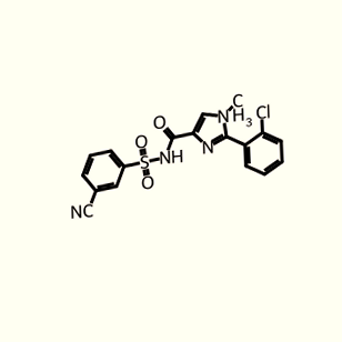 Cn1cc(C(=O)NS(=O)(=O)c2cccc(C#N)c2)nc1-c1ccccc1Cl